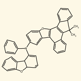 CC1(C)c2ccccc2-c2c1c1ccccc1c1c2oc2ccc(N(C3=CC=CC4Oc5ccccc5C34)c3ccccc3)cc21